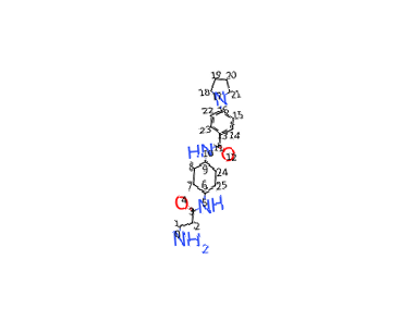 NCCC(=O)N[C@H]1CC[C@H](NC(=O)c2ccc(N3CCCC3)cc2)CC1